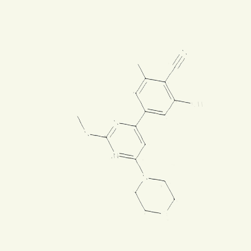 CNc1nc(-c2cc(O)c(C#N)c(F)c2)cc(N2CCOC[C@H]2C)n1